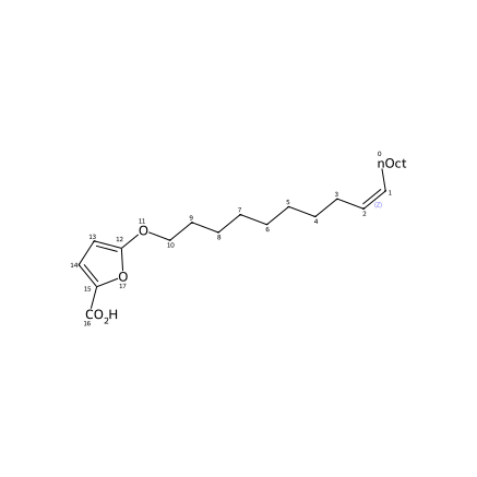 CCCCCCCC/C=C\CCCCCCCCOc1ccc(C(=O)O)o1